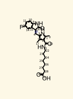 Cc1[nH]c(/C=C2\C(=O)Nc3ccc(F)cc32)c(C)c1C(=O)NCCCCCCCC(=O)O